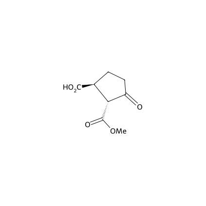 COC(=O)[C@H]1C(=O)CC[C@@H]1C(=O)O